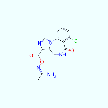 CC(N)=NOC(=O)c1ncn2c1CNC(=O)c1c(Cl)cccc1-2